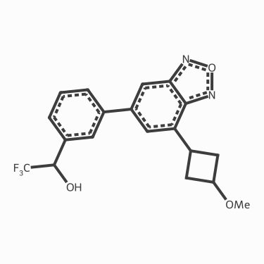 COC1CC(c2cc(-c3cccc(C(O)C(F)(F)F)c3)cc3nonc23)C1